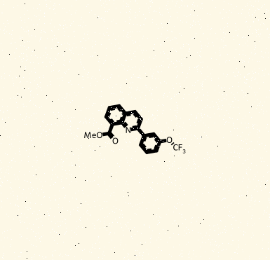 COC(=O)c1cccc2ccc(-c3cccc(OC(F)(F)F)c3)nc12